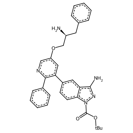 CC(C)(C)OC(=O)n1nc(N)c2cc(-c3cc(OC[C@@H](N)Cc4ccccc4)cnc3-c3ccccc3)ccc21